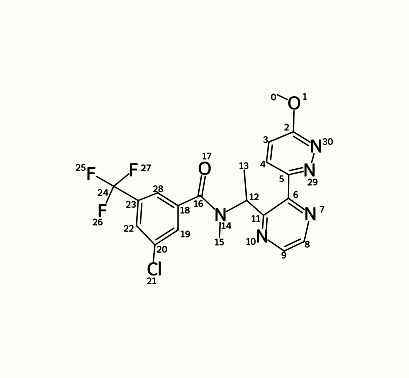 COc1ccc(-c2nccnc2C(C)N(C)C(=O)c2cc(Cl)cc(C(F)(F)F)c2)nn1